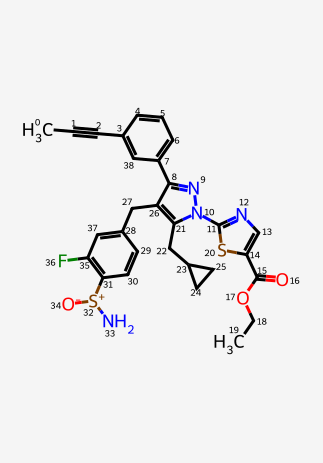 CC#Cc1cccc(-c2nn(-c3ncc(C(=O)OCC)s3)c(CC3CC3)c2Cc2ccc([S+](N)[O-])c(F)c2)c1